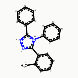 Cc1ccccc1-c1nnc(-c2ccccc2)n1-c1ccccc1